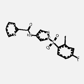 Cc1cc(F)ccc1S(=O)(=O)n1cc(NC(=O)c2ccccn2)cn1